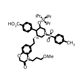 COCCCN1C(=O)COc2ccc(CC[C@H]3CN(S(=O)(=O)c4ccc(C)cc4)CC(O[Si](C(C)C)(C(C)C)C(C)C)C3c3ccc(C(=O)O)cc3)cc21